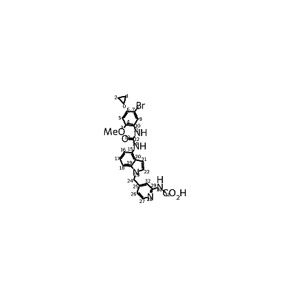 C1CC1.COc1ccc(Br)cc1NC(=O)Nc1cccc2c1ccn2Cc1ccnc(NC(=O)O)c1